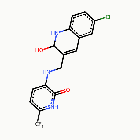 O=c1[nH]c(C(F)(F)F)ccc1NCC1=Cc2cc(Cl)ccc2NC1O